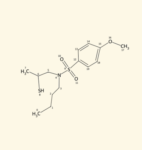 CCCCN(CC(C)S)S(=O)(=O)c1ccc(OC)cc1